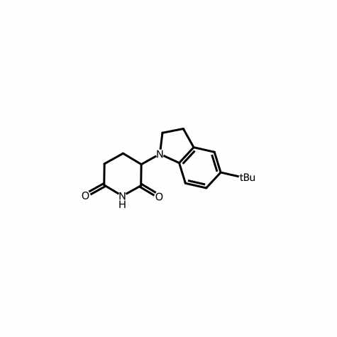 CC(C)(C)c1ccc2c(c1)CCN2C1CCC(=O)NC1=O